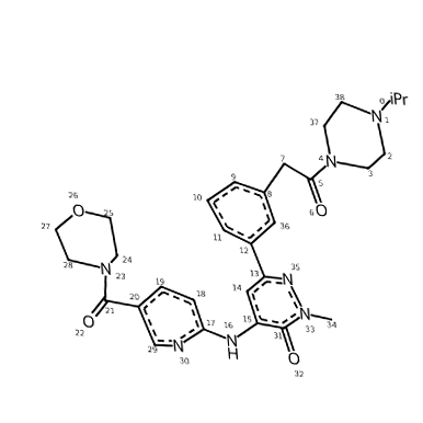 CC(C)N1CCN(C(=O)Cc2cccc(-c3cc(Nc4ccc(C(=O)N5CCOCC5)cn4)c(=O)n(C)n3)c2)CC1